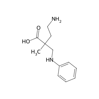 CC(CCN)(CNc1ccccc1)C(=O)O